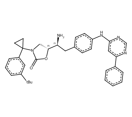 CC(C)(C)c1cccc(C2(N3C[C@H]([C@@H](N)Cc4ccc(Nc5cc(-c6ccccc6)ncn5)cc4)OC3=O)CC2)c1